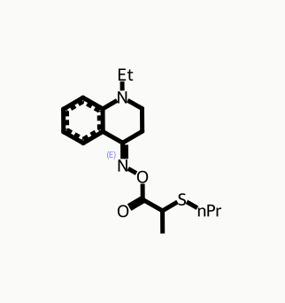 CCCSC(C)C(=O)O/N=C1\CCN(CC)c2ccccc21